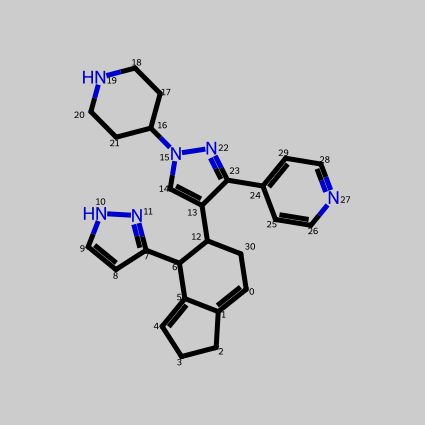 C1=C2CCC=C2C(c2cc[nH]n2)C(c2cn(C3CCNCC3)nc2-c2ccncc2)C1